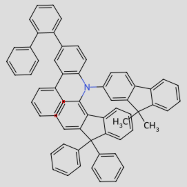 CC1(C)c2ccccc2-c2ccc(N(c3ccc(-c4ccccc4-c4ccccc4)cc3-c3ccccc3)c3cccc4c3-c3ccccc3C4(c3ccccc3)c3ccccc3)cc21